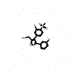 CS(=O)(=O)c1ccc(-c2c(-c3cccc(F)c3)noc2CO)cc1F